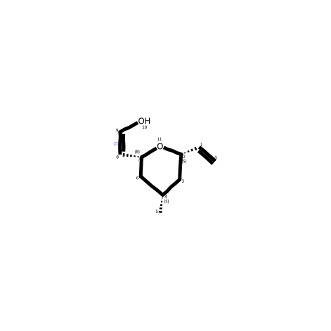 C=C[C@@H]1C[C@H](C)C[C@H](/C=C\O)O1